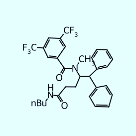 CCCCNC(=O)CCC(C(c1ccccc1)c1ccccc1)N(C)C(=O)c1cc(C(F)(F)F)cc(C(F)(F)F)c1